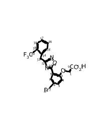 O=C(O)COc1ccc(Br)cc1-c1nc(Cc2ccccc2C(F)(F)F)no1